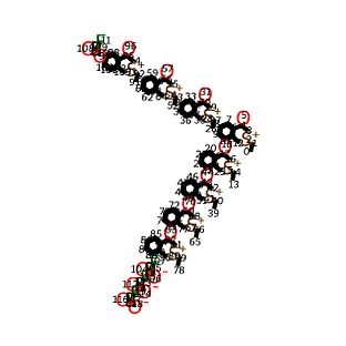 CC[S+]1CC(=O)c2ccccc2C1.CC[S+]1CC(=O)c2ccccc2C1.CC[S+]1CC(=O)c2ccccc2C1.CC[S+]1CC(=O)c2ccccc2C1.CC[S+]1CC(=O)c2ccccc2C1.CC[S+]1CC(=O)c2ccccc2C1.CC[S+]1CC(=O)c2ccccc2C1.CC[S+]1CC(=O)c2ccccc2C1.[O-]B([O-])F.[O-]B([O-])F.[O-]B([O-])F.[O-]B([O-])F